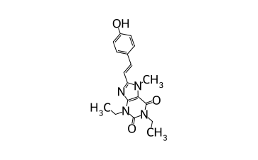 CCn1c(=O)c2c(nc(C=Cc3ccc(O)cc3)n2C)n(CC)c1=O